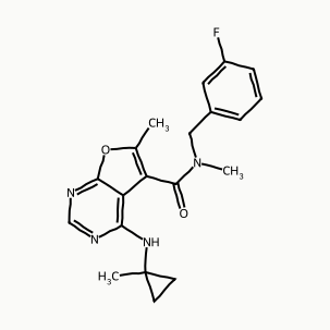 Cc1oc2ncnc(NC3(C)CC3)c2c1C(=O)N(C)Cc1cccc(F)c1